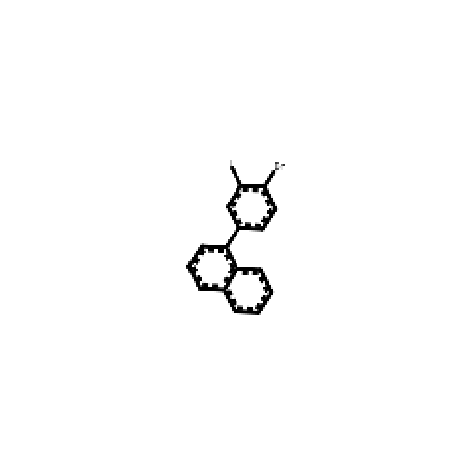 Brc1ccc(-c2cccc3ccccc23)cc1I